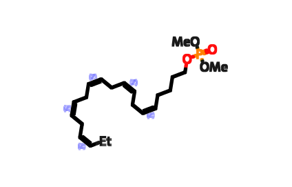 CC/C=C\C/C=C\C/C=C\C/C=C\C/C=C\CCCCOP(=O)(OC)OC